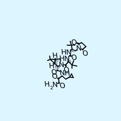 CC(C)(C)[C@H](NC(=O)N[C@H](CN1C(=O)CCC1=O)C(C)(C)C)C(=O)N1C[C@H]2[C@@H]([C@H]1C(=O)NC(CC1CC1)C(=O)C(N)=O)C2(C)C